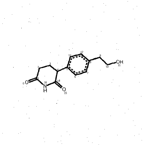 O=C1CCC(c2ccc(CCO)cc2)C(=O)N1